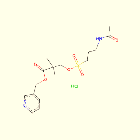 CC(=O)NCCCS(=O)(=O)OCC(C)(C)C(=O)OCc1cccnc1.Cl